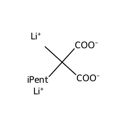 CCCC(C)C(C)(C(=O)[O-])C(=O)[O-].[Li+].[Li+]